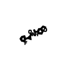 CC(NC(=O)C1CC1c1ccccc1F)c1ccc2c(c1)CCO2